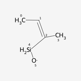 C/C=C(/C)[SiH2][O]